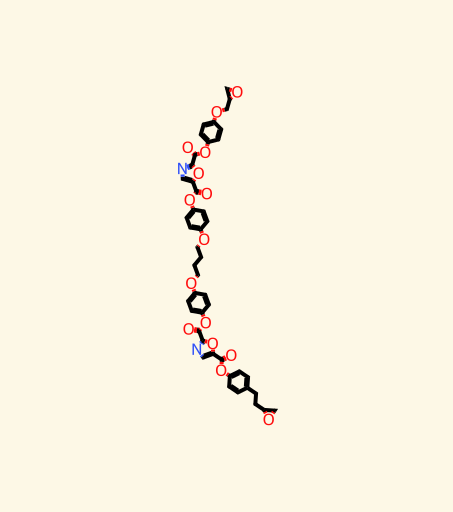 O=C(Oc1ccc(CCC2CO2)cc1)c1cnc(C(=O)Oc2ccc(OCCCCOc3ccc(OC(=O)c4cnc(C(=O)Oc5ccc(OCC6CO6)cc5)o4)cc3)cc2)o1